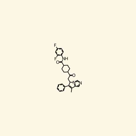 CC1=C(c2ccccc2)C(CC(=O)C2CCC(C(=O)Nc3ccc(F)cc3F)CC2)n2cncc21